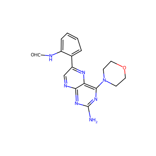 Nc1nc(N2CCOCC2)c2nc(-c3ccccc3NC=O)cnc2n1